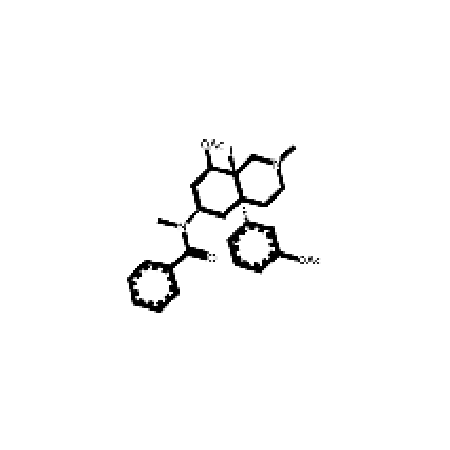 CC(=O)Oc1cccc([C@@]23CCN(C)C[C@H]2C(OC(C)=O)C[C@H](N(C)C(=O)c2ccccc2)C3)c1